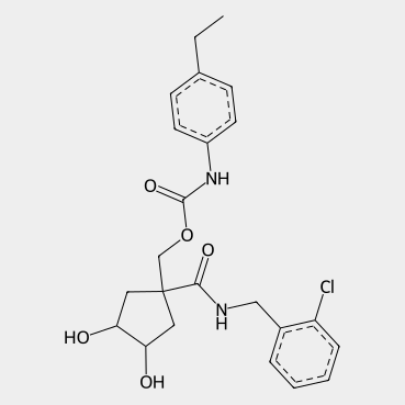 CCc1ccc(NC(=O)OCC2(C(=O)NCc3ccccc3Cl)CC(O)C(O)C2)cc1